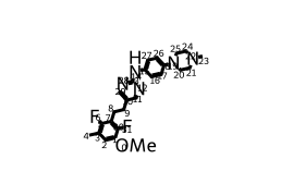 COc1cc(C)c(F)c(CCc2cnc(Nc3ccc(N4CCN(C)CC4)cc3)nc2)c1F